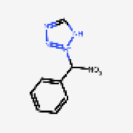 O=[N+]([O-])C(c1ccccc1)[n+]1nnc[nH]1